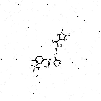 Cn1nc(C(=O)NCCSc2nonc2C(=N)Nc2ccc(F)c(C(F)(F)F)c2)[nH]c1=O